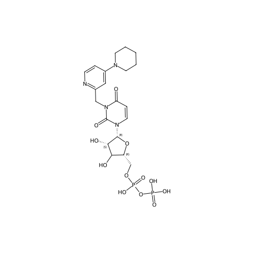 O=c1ccn([C@@H]2O[C@H](COP(=O)(O)OP(=O)(O)O)C(O)[C@@H]2O)c(=O)n1Cc1cc(N2CCCCC2)ccn1